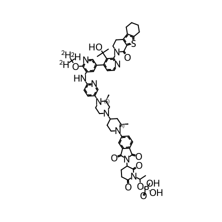 [2H]C([2H])([2H])Oc1ncc(-c2ccnc(N3CCc4c(sc5c4CCCC5)C3=O)c2C(C)(C)O)cc1Nc1ccc(N2CCN(C3CCN(c4ccc5c(c4)C(=O)N(C4CCC(=O)N(C(C)OP(=O)(O)O)C4=O)C5=O)[C@H](C)C3)C[C@@H]2C)cn1